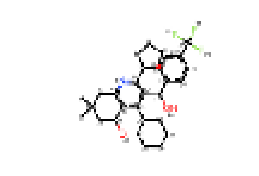 CC1(C)Cc2nc(C3CCCC3)c(C(O)c3ccc(C(F)(F)F)cc3)c(C3CCCCC3)c2[C@@H](O)C1